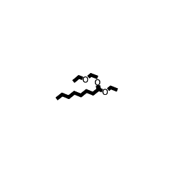 CCCCCCCC(=O)OCC.CCOCC